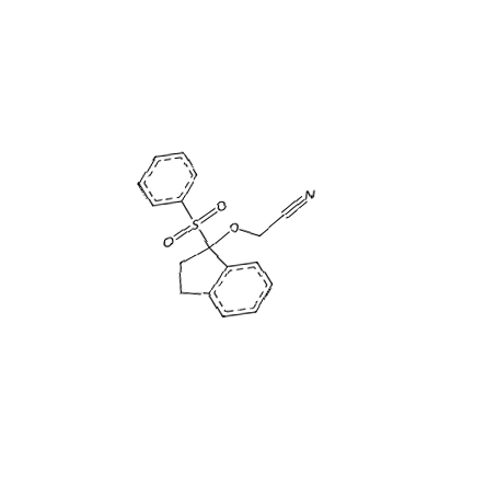 N#CCOC1(S(=O)(=O)c2ccccc2)CCc2ccccc21